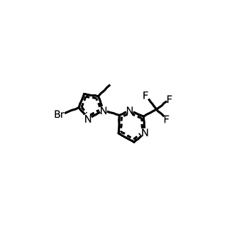 Cc1cc(Br)nn1-c1ccnc(C(F)(F)F)n1